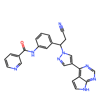 N#CCC(c1cccc(NC(=O)c2cccnc2)c1)n1cc(-c2ncnc3[nH]ccc23)cn1